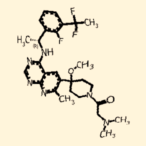 COC1(c2cc3c(N[C@H](C)c4cccc(C(C)(F)F)c4F)ncnc3nc2C)CCN(C(=O)CN(C)C)CC1